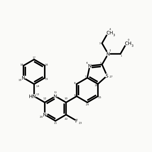 CCN(CC)c1nc2cc(-c3nc(Nc4cc[c]cn4)ncc3F)ccc2s1